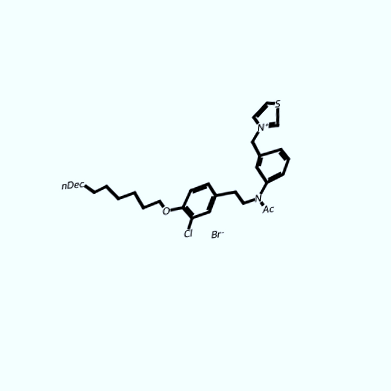 CCCCCCCCCCCCCCCCOc1ccc(CCN(C(C)=O)c2cccc(C[n+]3ccsc3)c2)cc1Cl.[Br-]